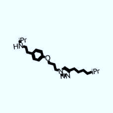 CC(C)CCCCc1cn(CCCOc2ccc(CCNC(C)C)cc2)nn1